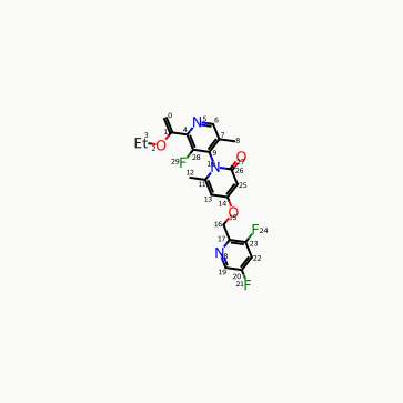 C=C(OCC)c1ncc(C)c(-n2c(C)cc(OCc3ncc(F)cc3F)cc2=O)c1F